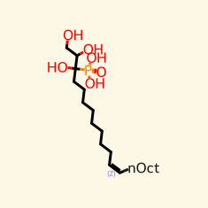 CCCCCCCC/C=C\CCCCCCCCC(O)(C(O)CO)P(=O)(O)O